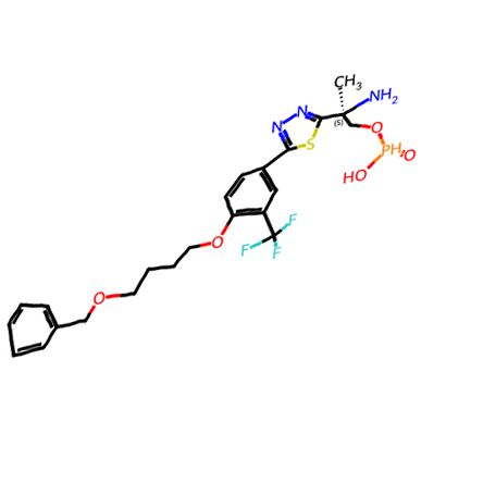 C[C@](N)(CO[PH](=O)O)c1nnc(-c2ccc(OCCCCOCc3ccccc3)c(C(F)(F)F)c2)s1